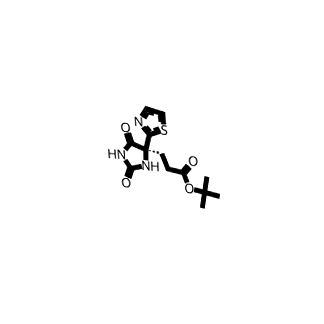 CC(C)(C)OC(=O)CC[C@]1(c2nccs2)NC(=O)NC1=O